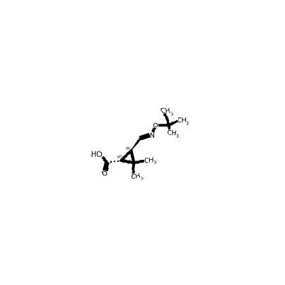 CC(C)(C)ON=C[C@@H]1[C@@H](C(=O)O)C1(C)C